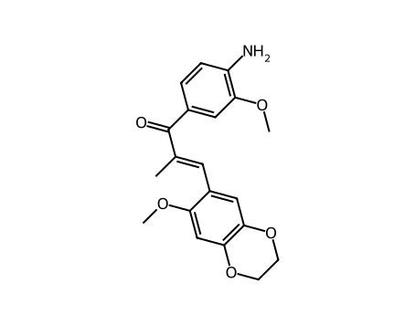 COc1cc(C(=O)/C(C)=C/c2cc3c(cc2OC)OCCO3)ccc1N